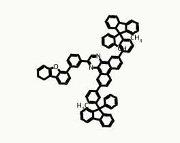 Cc1ccc(-c2ccc3c4ccc(-c5ccc(C)c(C6(c7ccccc7C)c7ccccc7C7C=CC=CC76)c5)cc4c4ncc(-c5cccc(-c6cccc7c8c(oc67)C=CCC8)c5)nc4c3c2)cc1C1(c2ccccc2)c2ccccc2-c2ccccc21